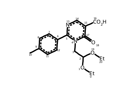 CCOC(Cn1c(-c2ccc(C)cc2)ncc(C(=O)O)c1=O)OCC